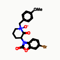 COc1ccc(C[N+]2([O-])CCCC(n3c(=O)oc4cc(Br)ccc43)C2=O)cc1